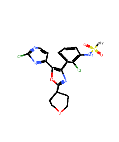 CCCS(=O)(=O)Nc1cccc(-c2nc(C3CCOCC3)oc2-c2ccnc(Cl)n2)c1Cl